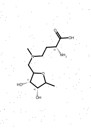 CC1OC(CN(C)CC[C@@H](N)C(=O)O)[C@@H](O)[C@H]1O